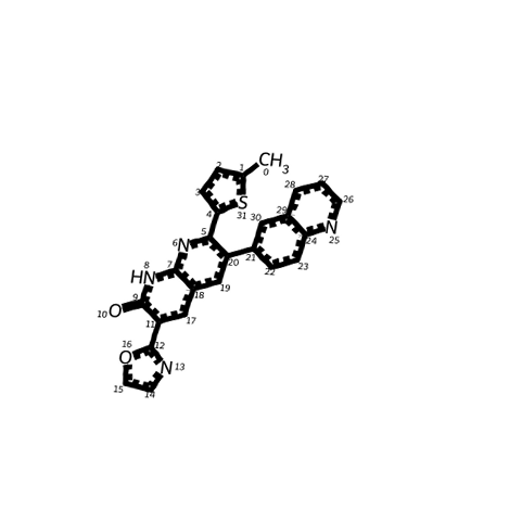 Cc1ccc(-c2nc3[nH]c(=O)c(-c4ncco4)cc3cc2-c2ccc3ncccc3c2)s1